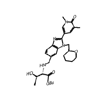 Cc1cc(-c2nc3ccc(CN[C@H](C(=O)OCC(C)C)[C@@H](C)O)cc3n2CC2CCCCO2)cn(C)c1=O